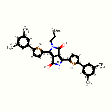 CCCCCCCCCCCCN1C(=O)C2=C(c3ccc(-c4cc(C(F)(F)F)cc(C(F)(F)F)c4)s3)NC(=O)C2=C1c1ccc(-c2cc(C(F)(F)F)cc(C(F)(F)F)c2)s1